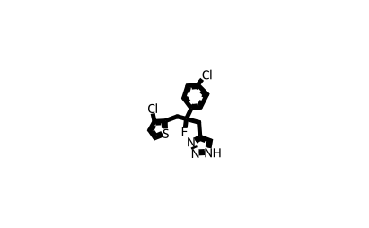 FC(Cc1c[nH]nn1)(Cc1sccc1Cl)c1ccc(Cl)cc1